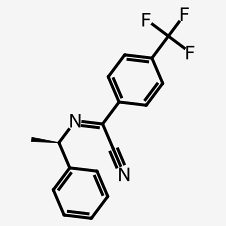 C[C@@H](/N=C(\C#N)c1ccc(C(F)(F)F)cc1)c1ccccc1